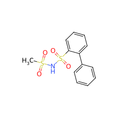 CS(=O)(=O)NS(=O)(=O)c1ccccc1-c1ccccc1